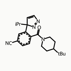 CC(C)C1(c2cc(C#N)ccc2C(=O)N2CCC(C(C)(C)C)CC2)C=CN=N1